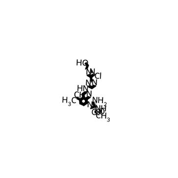 CC(C)c1ccc(N2C[C@H](NS(C)(=O)=O)[C@H]2N)c2cnc(Nc3ccnc(-c4cn(CCO)nc4Cl)n3)cc12